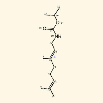 CC(C)=CCC/C(C)=C/CNC(=O)OC(C)C